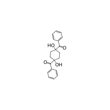 O=C(c1ccccc1)C1(O)CCC(O)(C(=O)c2ccccc2)CC1